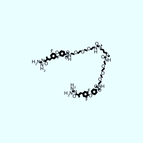 C/C(=C\c1cc(F)c(Oc2ccc(S(=O)(=O)NCCOCCOCCOCCNC(=O)N(C)CCCCN(C)C(=O)NCCOCCOCCOCCNS(=O)(=O)c3ccc(Oc4c(F)cc(/C=C(\C)C(=O)N=C(N)N)cc4F)cc3)cc2)c(F)c1)C(=O)N=C(N)N